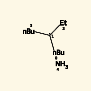 CCCC[C](CC)CCCC.N